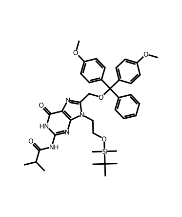 COc1ccc(C(OCc2nc3c(=O)[nH]c(NC(=O)C(C)C)nc3n2CCO[Si](C)(C)C(C)(C)C)(c2ccccc2)c2ccc(OC)cc2)cc1